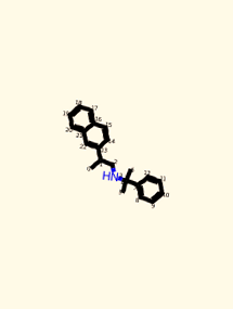 CC(CNC(C)(C)c1ccccc1)c1ccc2ccccc2c1